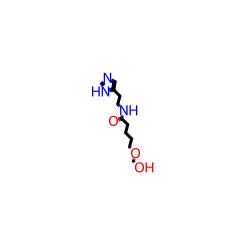 O=C(CCCCOCO)NCCc1cnc[nH]1